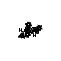 CN(c1cc(Cn2cccn2)ccc1C=CC(=O)NS(=O)(=O)c1ccccc1)S(=O)(=O)Cc1ccccc1